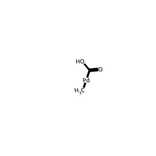 [CH3][Pd][C](=O)O